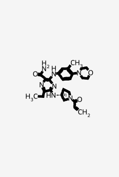 C=CC(=O)N1CC[C@@H](Nc2nc(Nc3ccc(N4CCOCC4)c(C)c3)c(C(N)=O)nc2CC)C1